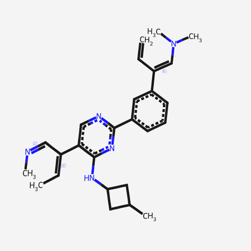 C=C/C(=C\N(C)C)c1cccc(-c2ncc(C(/C=N\C)=C/C)c(NC3CC(C)C3)n2)c1